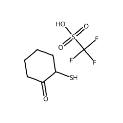 O=C1CCCCC1S.O=S(=O)(O)C(F)(F)F